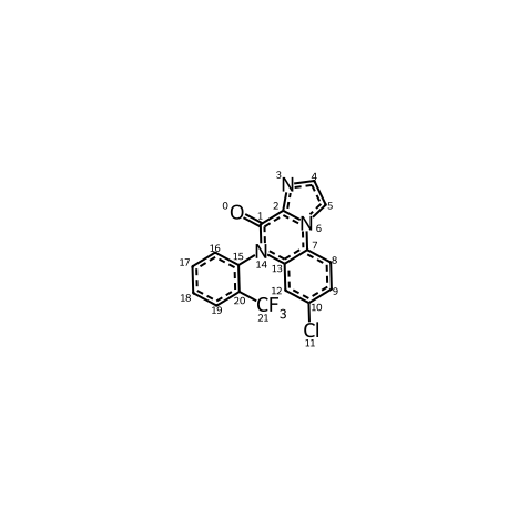 O=c1c2nccn2c2ccc(Cl)cc2n1-c1ccccc1C(F)(F)F